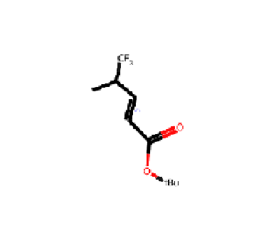 CC(/C=C/C(=O)OC(C)(C)C)C(F)(F)F